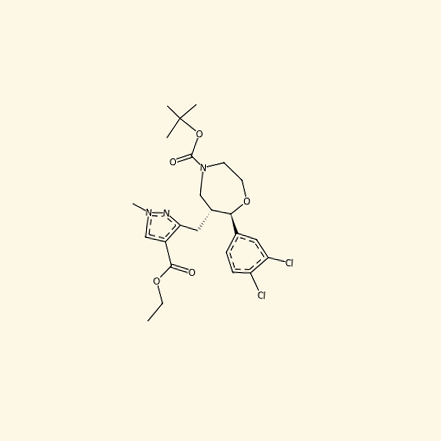 CCOC(=O)c1cn(C)nc1C[C@@H]1CN(C(=O)OC(C)(C)C)CCO[C@H]1c1ccc(Cl)c(Cl)c1